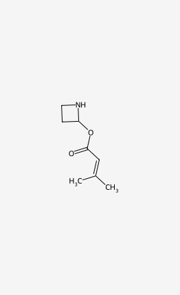 CC(C)=CC(=O)OC1CCN1